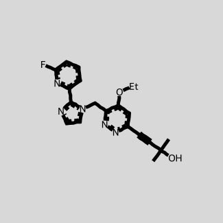 CCOc1cc(C#CC(C)(C)O)nnc1Cn1ccnc1-c1cccc(F)n1